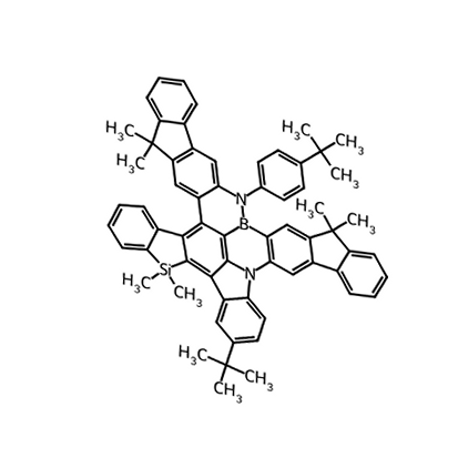 CC(C)(C)c1ccc(N2B3c4cc5c(cc4-n4c6ccc(C(C)(C)C)cc6c6c7c(c(c3c64)-c3cc4c(cc32)-c2ccccc2C4(C)C)-c2ccccc2[Si]7(C)C)-c2ccccc2C5(C)C)cc1